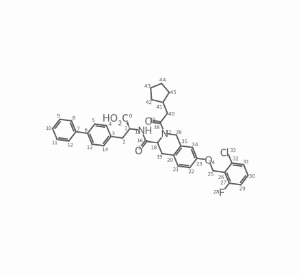 O=C(O)[C@H](Cc1ccc(-c2ccccc2)cc1)NC(=O)[C@@H]1Cc2ccc(OCc3c(F)cccc3Cl)cc2CN1C(=O)CC1CCCC1